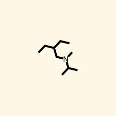 CCC(CC)CN(C)C(C)C